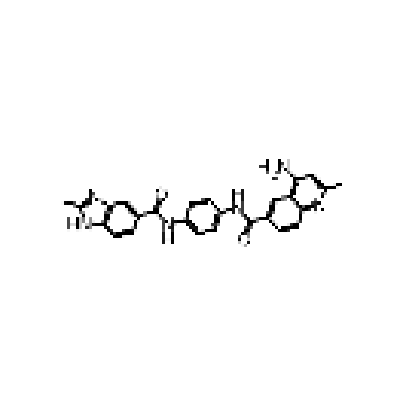 Cc1cc(N)c2cc(C(=O)Nc3ccc(NC(=O)c4ccc5[nH]c(C)nc5c4)cc3)ccc2n1